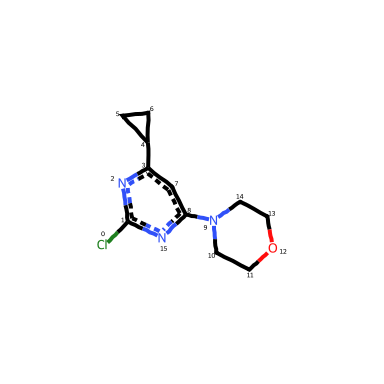 Clc1nc(C2[CH]C2)cc(N2CCOCC2)n1